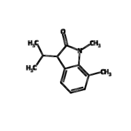 Cc1cccc2c1N(C)C(=O)C2C(C)C